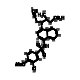 C#CCN(c1ccc(NS(=O)(=O)c2ccc(OC)c(Cl)c2)c2ccccc12)[C@@H](C)CC(=O)O